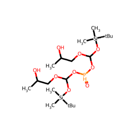 CC(O)COC(O[PH](=O)OC(OCC(C)O)O[Si](C)(C)C(C)(C)C)O[Si](C)(C)C(C)(C)C